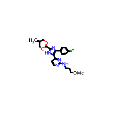 C=C1COC(c2nc(-c3ccc(F)cc3)c(-c3ccnc(NCCCOC)n3)[nH]2)OC1